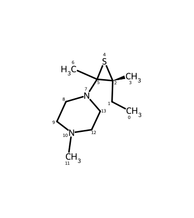 CC[C@@]1(C)SC1(C)N1CCN(C)CC1